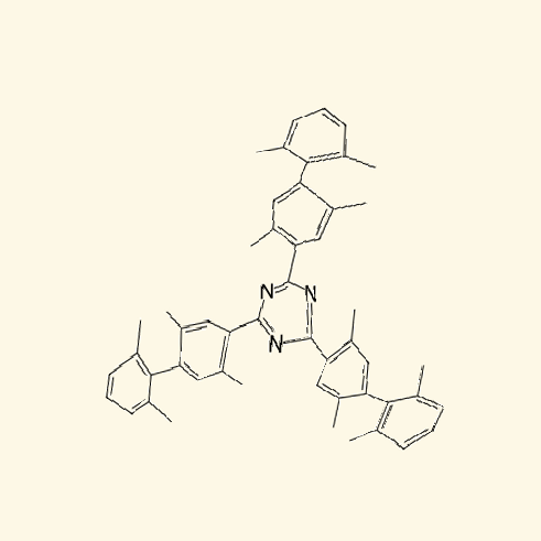 Cc1cc(-c2c(C)cccc2C)c(C)cc1-c1nc(-c2cc(C)c(-c3c(C)cccc3C)cc2C)nc(-c2cc(C)c(-c3c(C)cccc3C)cc2C)n1